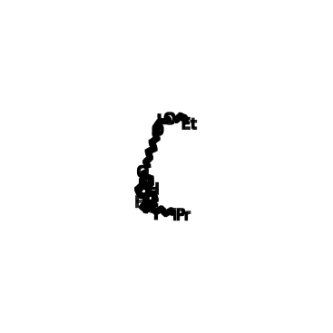 CC/C=C\COC[C@H](C)COCCCCCCCCOC1CC[C@@]2(C)C(=CC[C@H]3[C@@H]4CC[C@H]([C@H](C)CCCC(C)C)[C@@]4(C)CC[C@@H]32)C1